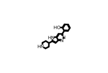 Oc1ccccc1-c1cc2[nH]c(C3CCNCC3)cc2nn1